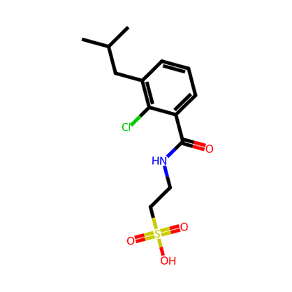 CC(C)Cc1cccc(C(=O)NCCS(=O)(=O)O)c1Cl